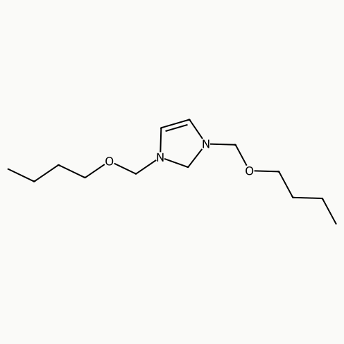 CCCCOCN1C=CN(COCCCC)C1